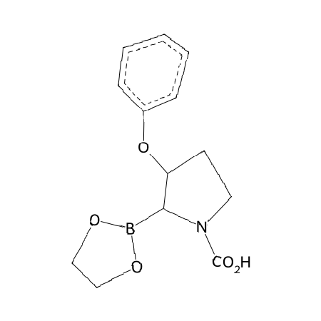 O=C(O)N1CCC(Oc2ccccc2)C1B1OCCO1